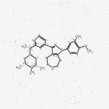 COc1ncc(-n2nc(-c3ccnc([C@@H](C)N4C[C@@H](C)N(C)[C@@H](C)C4)c3)c3c2CCOCC3)cc1C